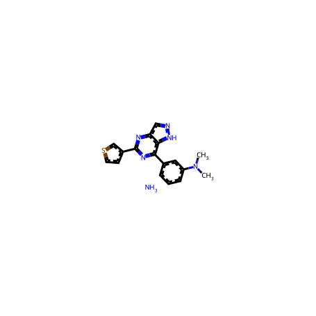 CN(C)c1cccc(-c2nc(-c3ccsc3)nc3cn[nH]c23)c1.N